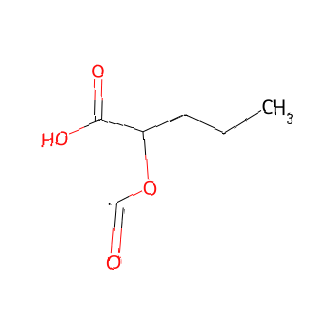 CCCC(O[C]=O)C(=O)O